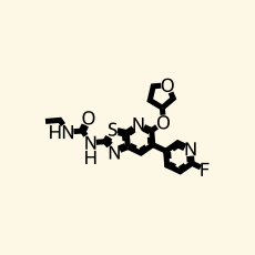 CCNC(=O)Nc1nc2cc(-c3ccc(F)nc3)c(OC3CCOC3)nc2s1